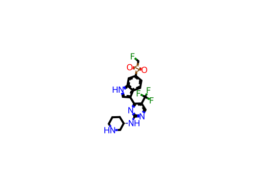 O=S(=O)(CF)c1ccc2c(-c3nc(N[C@H]4CCCNC4)ncc3C(F)(F)F)c[nH]c2c1